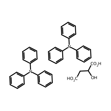 O=C(O)CC(O)C(=O)O.c1ccc(N(c2ccccc2)c2ccccc2)cc1.c1ccc(N(c2ccccc2)c2ccccc2)cc1